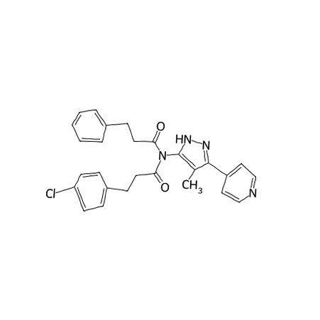 Cc1c(-c2ccncc2)n[nH]c1N(C(=O)CCc1ccccc1)C(=O)CCc1ccc(Cl)cc1